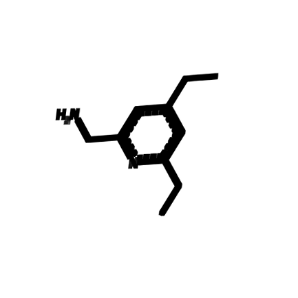 CCc1cc(CC)nc(CN)c1